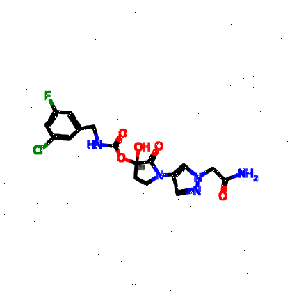 NC(=O)Cn1cc(N2CC[C@](O)(OC(=O)NCc3cc(F)cc(Cl)c3)C2=O)cn1